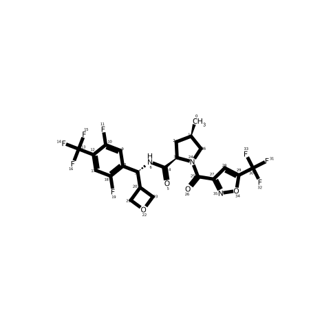 C[C@@H]1C[C@H](C(=O)N[C@@H](c2cc(F)c(C(F)(F)F)cc2F)C2COC2)N(C(=O)c2cc(C(F)(F)F)on2)C1